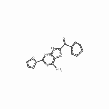 Nc1nc(-c2ccco2)nc2[nH]c(C(=O)c3ccccc3)nc12